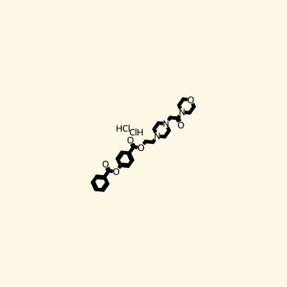 Cl.Cl.O=C(OCCN1CCN(CC(=O)N2CCOCC2)CC1)c1ccc(OC(=O)c2ccccc2)cc1